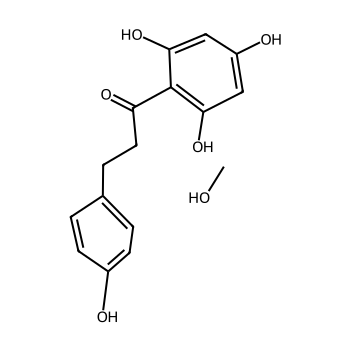 CO.O=C(CCc1ccc(O)cc1)c1c(O)cc(O)cc1O